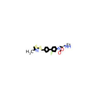 CCNC[C@H]1CN(c2ccc(-c3ccc(CSc4nc(C)cs4)cc3)c(F)c2)C(=O)O1